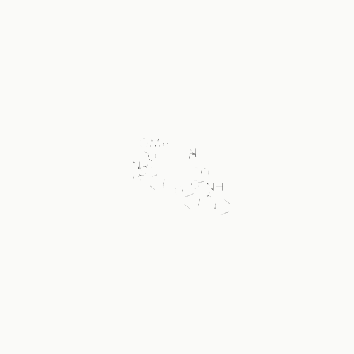 COC(=O)C1CCCN1S(=O)(=O)c1ccc(COc2cccc([C@@H](NC(=O)OC3CN4CCC3CC4)c3ccccc3)c2)cc1